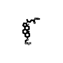 COC(=O)CCC(C)[C@H]1CCC2C3CCC4C[C@H](OCC(=O)O)CCC4(C)C3CC[C@@]21C